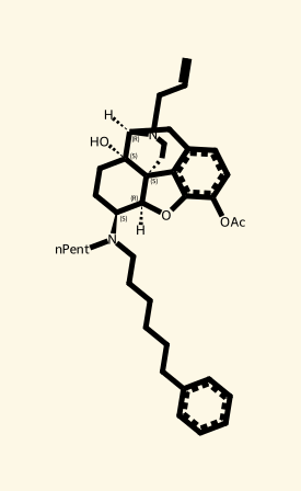 C=CCN1CC[C@]23c4c5ccc(OC(C)=O)c4O[C@H]2[C@@H](N(CCCCC)CCCCCCc2ccccc2)CC[C@@]3(O)[C@H]1C5